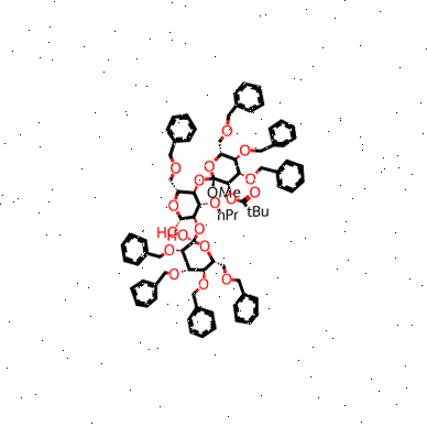 CCCO[C@@H]1[C@@H](O[C@@]2(O)O[C@H](COCc3ccccc3)[C@@H](OCc3ccccc3)[C@H](OCc3ccccc3)[C@@H]2OCc2ccccc2)[C@H](O)O[C@H](COCc2ccccc2)[C@H]1O[C@]1(OC)O[C@H](COCc2ccccc2)[C@@H](OCc2ccccc2)[C@H](OCc2ccccc2)[C@H]1OC(=O)C(C)(C)C